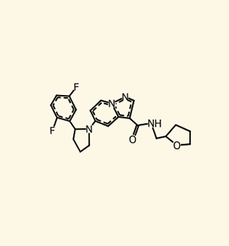 O=C(NCC1CCCO1)c1cnn2ccc(N3CCCC3c3cc(F)ccc3F)cc12